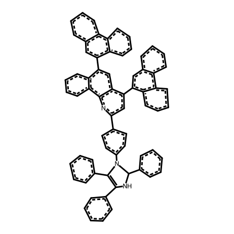 c1ccc(C2=C(c3ccccc3)N(c3ccc(-c4cc(-c5cc6ccccc6c6ccccc56)c5cc(-c6cc7ccccc7c7ccccc67)c6ccccc6c5n4)cc3)C(c3ccccc3)N2)cc1